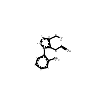 Nc1ccccc1-n1nnc(CBr)c1CC=O